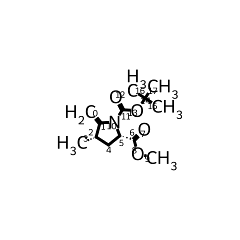 C=C1[C@@H](C)C[C@@H](C(=O)OC)N1C(=O)OC(C)(C)C